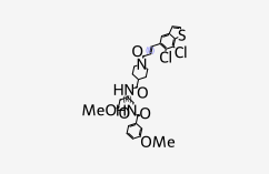 COC(=O)C[C@H](CNC(=O)c1cccc(OC)c1)NC(=O)C1CCN(C(=O)/C=C/c2cc3ccsc3c(Cl)c2Cl)CC1